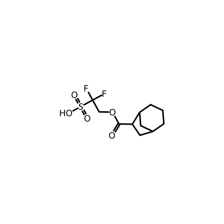 O=C(OCC(F)(F)S(=O)(=O)O)C1CC2CCCC1C2